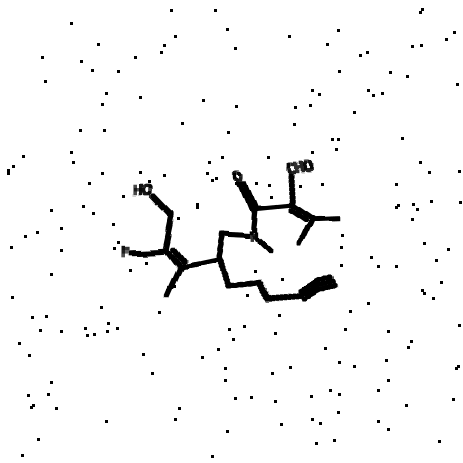 C#CCCCC(CN(C)C(=O)C(C=O)=C(C)C)/C(C)=C(/F)CO